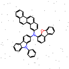 c1ccc(-n2c3ccccc3c3ccc(N(c4ccc5ccc6c7ccccc7ccc6c5c4)c4cccc5c4oc4ccccc45)cc32)cc1